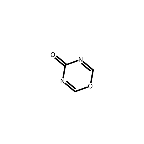 O=c1ncocn1